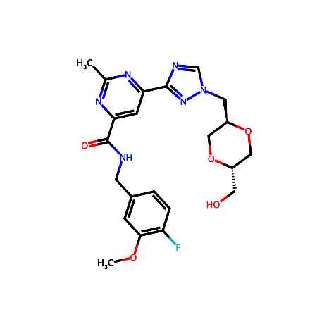 COc1cc(CNC(=O)c2cc(-c3ncn(C[C@@H]4CO[C@@H](CO)CO4)n3)nc(C)n2)ccc1F